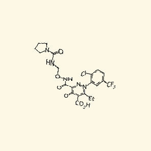 CCc1c(C(=O)O)c(=O)c(C(=O)NOCNC(=O)N2CCCC2)nn1-c1cc(C(F)(F)F)ccc1Cl